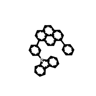 c1ccc(-c2ccc3ccc4ccc(-c5cccc(-n6c7ccccc7c7ccccc76)c5)c5ccc2c3c45)cc1